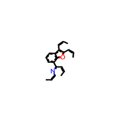 C\C=C/N=C(\C=C/C)c1cccc2c(/C=C\C)c(/C=C\C)oc12